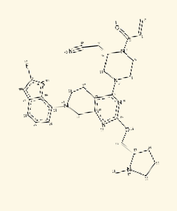 C=CC(=O)N1CCN(c2nc(OC[C@@H]3CCCN3C)nc3c2CCN(c2cccc4cc(F)sc24)C3)C[C@@H]1CC#N